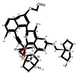 COCOc1cc(-c2nc(C3CC3)c3c(N4C[C@H]5CC[C@@H](C4)N5C(=O)O)nc(OC[C@@]45CCCN4C[C@H](F)C5)nc3c2F)c2c(C#C[Si](C(C)C)(C(C)C)C(C)C)c(F)ccc2c1